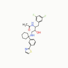 CC(=O)NC(Cc1cc(F)cc(F)c1)C(O)CNC1(c2cccc(-c3nccs3)c2)CCCCC1